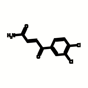 NC(=O)/C=C/C(=O)c1ccc(Cl)c(Cl)c1